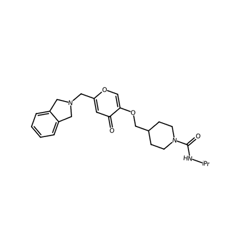 CC(C)NC(=O)N1CCC(COc2coc(CN3Cc4ccccc4C3)cc2=O)CC1